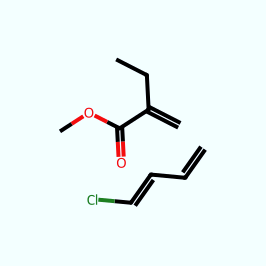 C=C(CC)C(=O)OC.C=CC=CCl